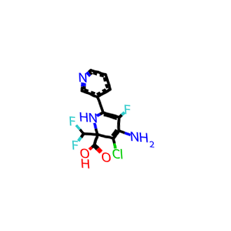 NC1=C(Cl)C(C(=O)O)(C(F)F)NC(c2cccnc2)=C1F